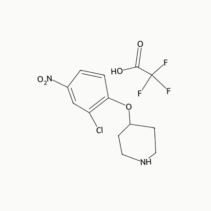 O=C(O)C(F)(F)F.O=[N+]([O-])c1ccc(OC2CCNCC2)c(Cl)c1